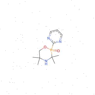 CC1(C)COP(=O)(c2ncccn2)C(C)(C)N1